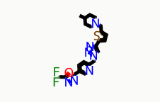 CC1CCN(Cc2ccc(-c3cn(Cc4ccc(-c5nnc(C(F)F)o5)cn4)nn3)s2)CC1